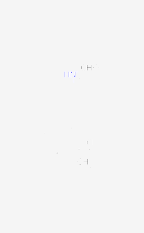 C=C(C)c1cccc(CCCCN[C]=O)c1